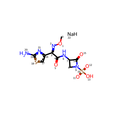 CON=C(C(=O)NC1CN(S(=O)(=O)O)C1=O)c1csc(N)n1.[NaH]